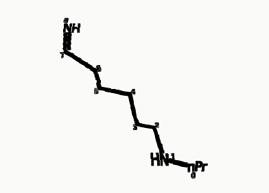 CCCNCCCCCC=N